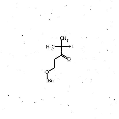 CCC(C)(C)C(=O)CCOC(C)(C)C